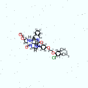 Cc1cc(Cl)c(OCCOc2ccc(C3=C(C(=O)N(Cc4ccccc4C)C4CC4)[C@H]4CN(C(=O)[C@@H]5C[C@@H](OC=O)CN5)C[C@@H](C3)N4)cc2)cc1C